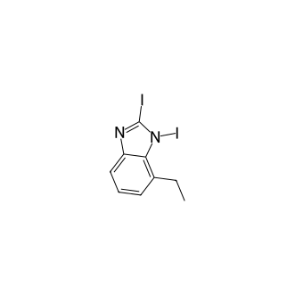 CCc1cccc2nc(I)n(I)c12